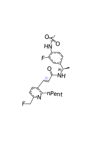 CCCCCc1nc(CF)ccc1/C=C/C(=O)N[C@H](C)c1ccc(NS(C)(=O)=O)c(F)c1